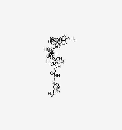 C=CC(CC(=O)SCCNC(=O)CCNC(=O)[C@H](O)C(C)(C)COP(=O)(O)OP(=O)(O)OC[C@H]1O[C@@H](n2cnc3c(N)ncnc32)[C@H](O)[C@@H]1OP(=O)(O)O)P(=O)=O